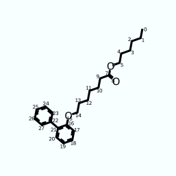 CCCCCCOC(=O)CCCCCCOc1ccccc1-c1ccccc1